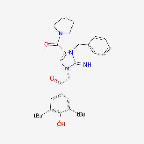 CC(C)(C)c1cc(C(=O)Cn2cc(C(=O)N3CCCC3)n(Cc3ccccc3)c2=N)cc(C(C)(C)C)c1O